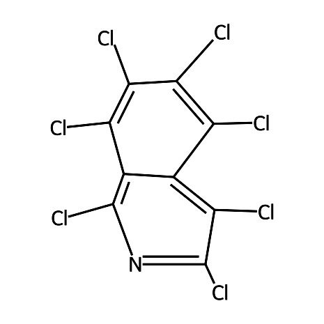 Clc1nc(Cl)c2c(Cl)c(Cl)c(Cl)c(Cl)c2c1Cl